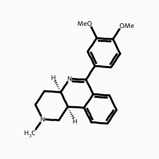 COc1ccc(C2=N[C@@H]3CCN(C)C[C@@H]3c3ccccc32)cc1OC